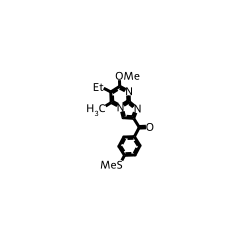 CCc1c(OC)nc2nc(C(=O)c3ccc(SC)cc3)cn2c1C